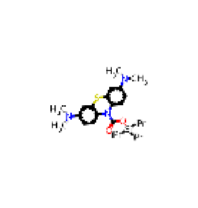 CC(C)[Si](OC(=O)N1c2ccc(N(C)C)cc2Sc2cc(N(C)C)ccc21)(C(C)C)C(C)C